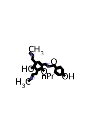 C/C=C/Cc1cc(/C=C/C(=O)c2ccc(O)cc2)c(OCCC)c(C/C=C/C)c1O